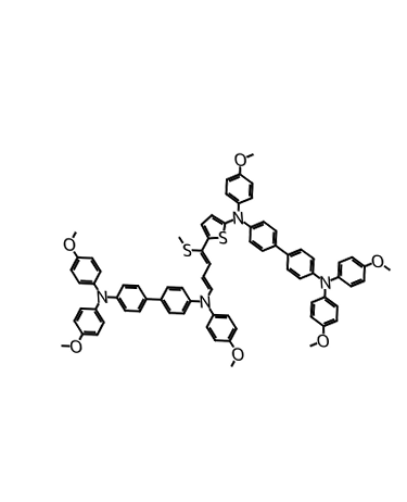 COc1ccc(N(/C=C/C=C(\SC)c2ccc(N(c3ccc(OC)cc3)c3ccc(-c4ccc(N(c5ccc(OC)cc5)c5ccc(OC)cc5)cc4)cc3)s2)c2ccc(-c3ccc(N(c4ccc(OC)cc4)c4ccc(OC)cc4)cc3)cc2)cc1